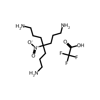 NCCCC(CCCN)(CCCN)[N+](=O)[O-].O=C(O)C(F)(F)F